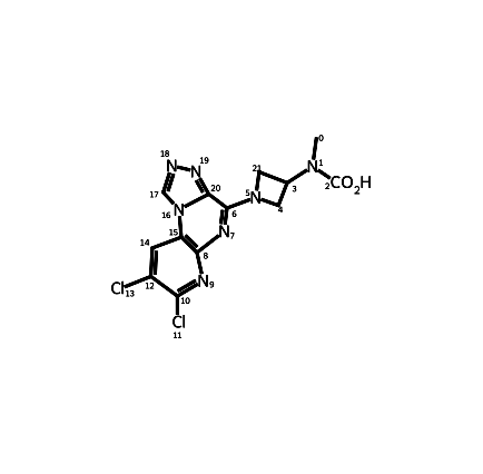 CN(C(=O)O)C1CN(c2nc3nc(Cl)c(Cl)cc3n3cnnc23)C1